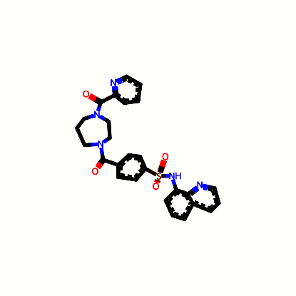 O=C(c1ccc(S(=O)(=O)Nc2cccc3cccnc23)cc1)N1CCCN(C(=O)c2ccccn2)CC1